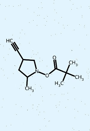 C#CC1CC(C)N(OC(=O)C(C)(C)C)C1